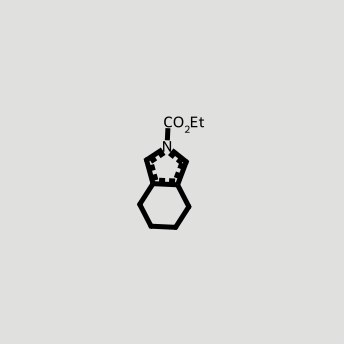 CCOC(=O)n1cc2c(c1)CCCC2